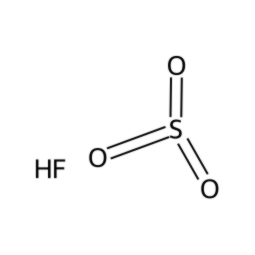 F.O=S(=O)=O